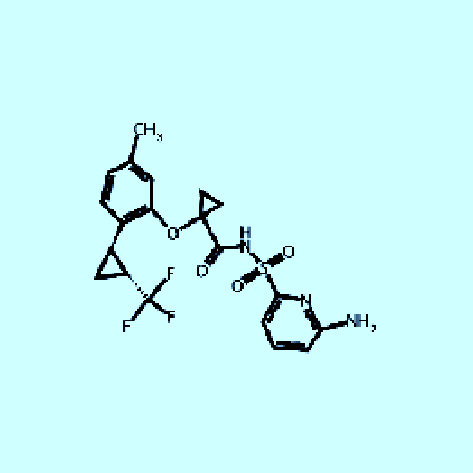 Cc1ccc([C@@H]2C[C@H]2C(F)(F)F)c(OC2(C(=O)NS(=O)(=O)c3cccc(N)n3)CC2)c1